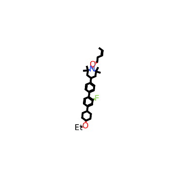 C/C=C\CCON1C(C)(C)CC(c2ccc(-c3ccc(C4CCC(OCC)CC4)cc3F)cc2)CC1(C)C